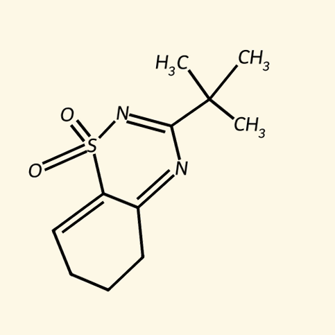 CC(C)(C)C1=NS(=O)(=O)C2=CCCCC2=N1